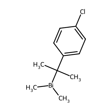 [CH3][Bi]([CH3])[C](C)(C)c1ccc(Cl)cc1